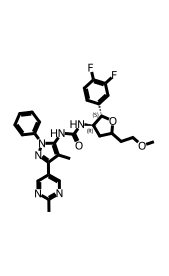 COCCC1C[C@@H](NC(=O)Nc2c(C)c(-c3cnc(C)nc3)nn2-c2ccccc2)[C@H](c2ccc(F)c(F)c2)O1